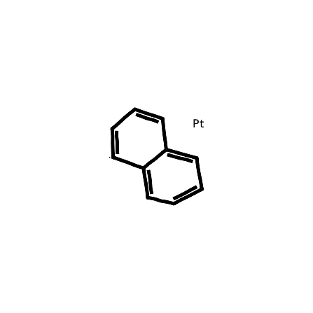 [Pt].[c]1cccc2ccccc12